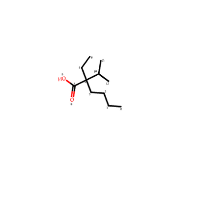 CCCCC(CC)(C(=O)O)C(C)C